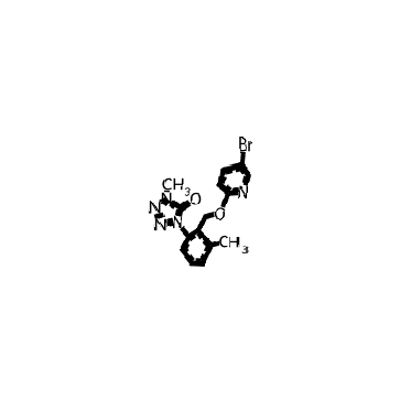 Cc1cccc(-n2nnn(C)c2=O)c1COc1ccc(Br)cn1